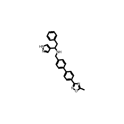 Cc1nc(-c2ccc(-c3ccc(CNC(Cc4ccccc4)c4cn[nH]c4)cc3)cc2)no1